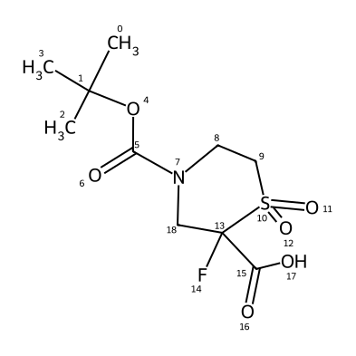 CC(C)(C)OC(=O)N1CCS(=O)(=O)C(F)(C(=O)O)C1